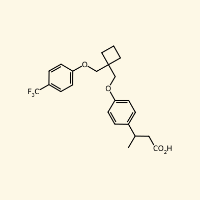 CC(CC(=O)O)c1ccc(OCC2(COc3ccc(C(F)(F)F)cc3)CCC2)cc1